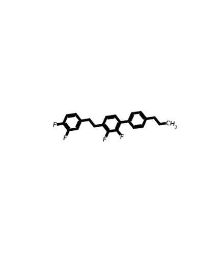 CCCc1ccc(-c2ccc(CCc3ccc(F)c(F)c3)c(F)c2F)cc1